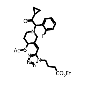 CCOC(=O)CCCn1nnnc1/C=C1/CN(C(C(=O)C2CC2)c2ccccc2F)CCC1SC(C)=O